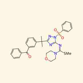 CSC(=Nc1nc(C(C)(C)c2cccc(C(=O)c3ccccc3)c2)nn1S(=O)(=O)c1ccccc1)N1CCOCC1